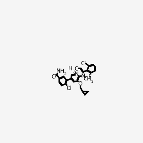 CC=C(c1c(F)cccc1Cl)N(C)c1ncc(-c2cc(C(N)=O)ccc2Cl)cc1OCC1CC1